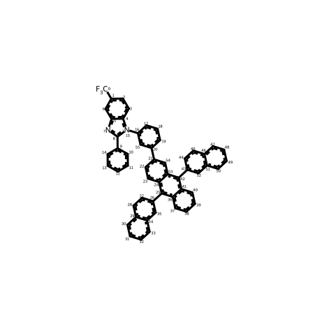 FC(F)(F)c1ccc2c(c1)nc(-c1ccccc1)n2-c1cccc(-c2ccc3c(-c4ccc5ccccc5c4)c4ccccc4c(-c4ccc5ccccc5c4)c3c2)c1